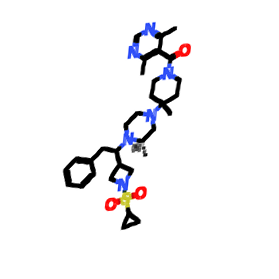 Cc1ncnc(C)c1C(=O)N1CCC(C)(N2CCN(C(Cc3ccccc3)C3CN(S(=O)(=O)C4CC4)C3)[C@@H](C)C2)CC1